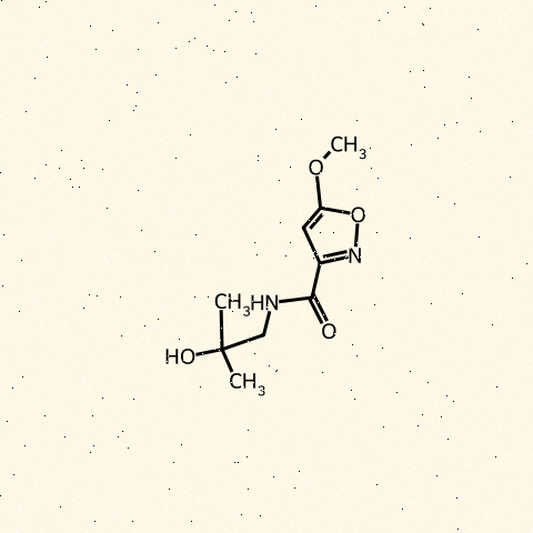 COc1cc(C(=O)NCC(C)(C)O)no1